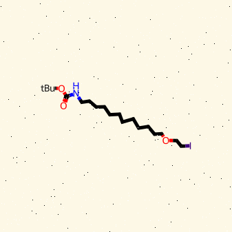 CC(C)(C)OC(=O)NCCCCCCCCCCCCOCCI